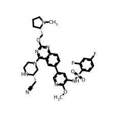 COc1ncc(-c2ccc3nc(OC[C@@H]4CCCN4C)nc(N4CCN[C@@H](CC#N)C4)c3c2)cc1NS(=O)(=O)c1ccc(F)cc1F